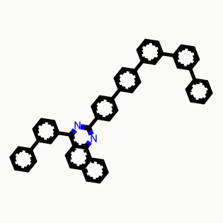 c1ccc(-c2cccc(-c3cccc(-c4ccc(-c5ccc(-c6nc(-c7cccc(-c8ccccc8)c7)c7ccc8ccccc8c7n6)cc5)cc4)c3)c2)cc1